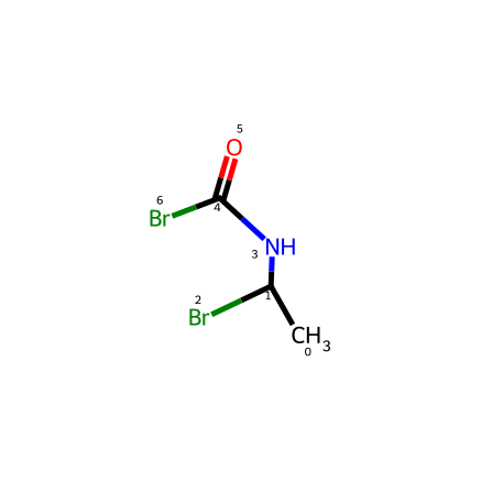 CC(Br)NC(=O)Br